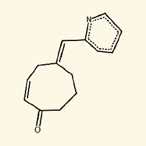 O=C1C=CCC(=Cc2ccccn2)CCC1